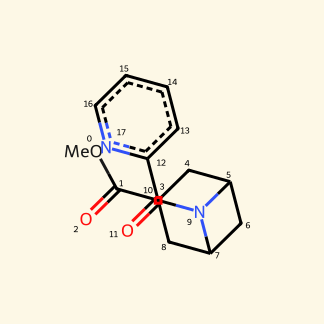 COC(=O)C1CC2CC(C1)N2C(=O)c1ccccn1